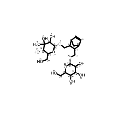 CC1(O)C(O)[C@H](OCC2C3C=CC(C3)C2CO[C@@H]2OC(CO)[C@H](O)[C@H](O)C2O)OC(CO)[C@@H]1O